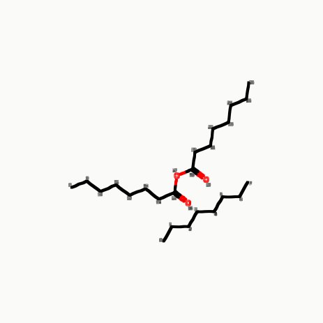 CCCCCCCC.CCCCCCCC(=O)OC(=O)CCCCCCC